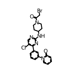 O=C(CBr)N1CCC(Nc2ncc(Cl)c(-c3cccc(-n4ccccc4=O)c3)n2)CC1